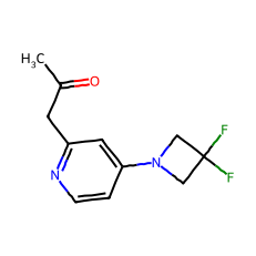 CC(=O)Cc1cc(N2CC(F)(F)C2)ccn1